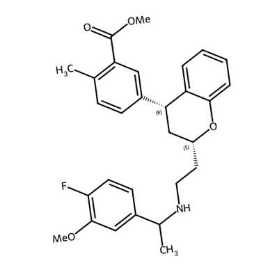 COC(=O)c1cc([C@H]2C[C@@H](CCNC(C)c3ccc(F)c(OC)c3)Oc3ccccc32)ccc1C